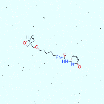 CCC1(COCCCCCCNC(=O)NC2=NC(=O)C=CC2)COC1